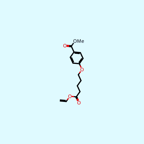 C=COC(=O)CCCCOc1ccc(C(=O)OC)cc1